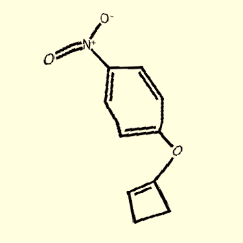 O=[N+]([O-])c1ccc(OC2=CCC2)cc1